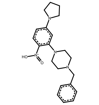 O=[N+](O)c1ccc(N2CCCC2)cc1N1CCN(Cc2ccccc2)CC1